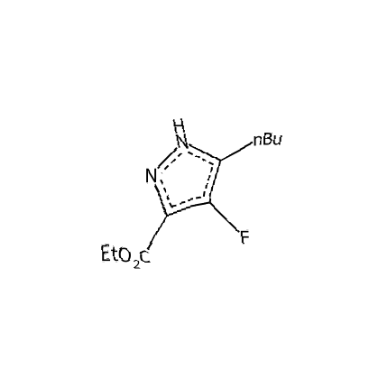 CCCCc1[nH]nc(C(=O)OCC)c1F